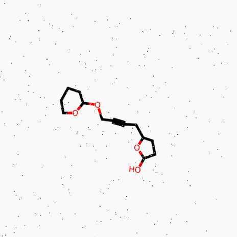 OC1CCC(CC#CCOC2CCCCO2)O1